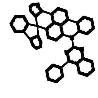 c1ccc(-c2nc(N3c4ccccc4-c4ccc5c6c(ccc3c46)C3(c4ccccc4-c4ccccc43)c3cccnc3-5)nc3ccccc23)cc1